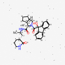 N#C[C@H](C[C@H]1CCCNC1=O)NC(=O)[C@H]1[C@H]2CCC[C@H]2CN1C(=O)C1(O)c2ccccc2-c2ccccc21